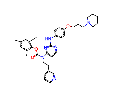 Cc1cc(C)c(OC(=O)N(CCc2cccnc2)c2ccnc(Nc3ccc(OCCCN4CCCCC4)cc3)n2)c(C)c1